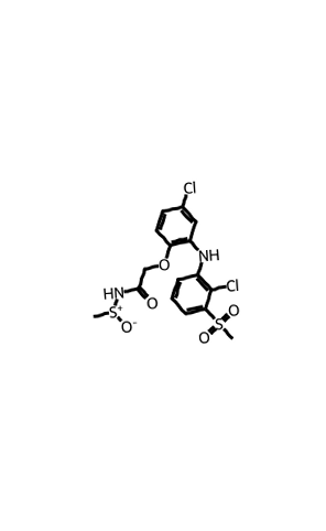 C[S+]([O-])NC(=O)COc1ccc(Cl)cc1Nc1cccc(S(C)(=O)=O)c1Cl